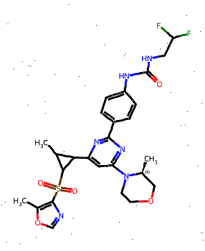 Cc1ocnc1S(=O)(=O)C1C(C)C1c1cc(N2CCOC[C@@H]2C)nc(-c2ccc(NC(=O)NCC(F)F)cc2)n1